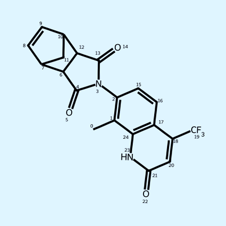 Cc1c(N2C(=O)C3C4C=CC(C4)C3C2=O)ccc2c(C(F)(F)F)cc(=O)[nH]c12